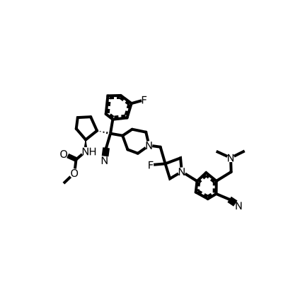 COC(=O)N[C@H]1CCC[C@@H]1C(C#N)(c1cccc(F)c1)C1CCN(CC2(F)CN(c3ccc(C#N)c(CN(C)C)c3)C2)CC1